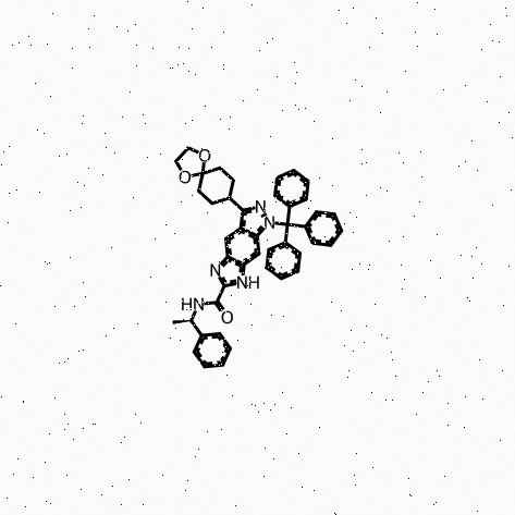 C[C@@H](NC(=O)c1nc2cc3c(C4CCC5(CC4)OCCO5)nn(C(c4ccccc4)(c4ccccc4)c4ccccc4)c3cc2[nH]1)c1ccccc1